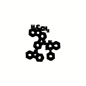 CC1(C)c2ccccc2-c2c1ccc1c2c2ccc(-n3c4ccccc4c4ccccc43)cc2n1-c1nc(-c2ccccc2)c2ccccc2n1